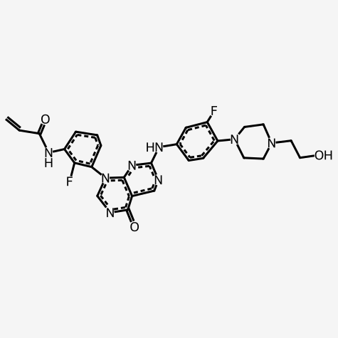 C=CC(=O)Nc1cccc(-n2cnc(=O)c3cnc(Nc4ccc(N5CCN(CCO)CC5)c(F)c4)nc32)c1F